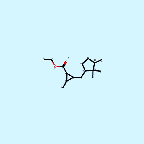 CCOC(=O)C1C(C)C1CC1CCC(C)C1(C)C